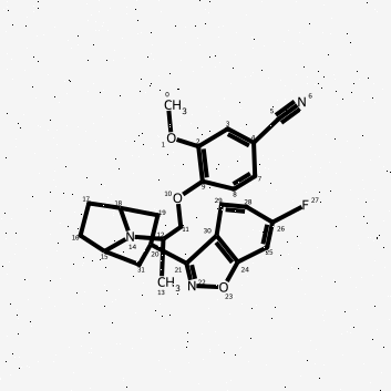 COc1cc(C#N)ccc1OCC(C)N1C2CCC1CC(c1noc3cc(F)ccc13)C2